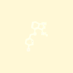 NC1=NNC2CC=CC(OCC3=CCC(Cl)C=C3)=C12